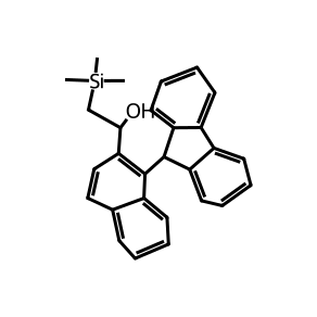 C[Si](C)(C)CC(O)c1ccc2ccccc2c1C1c2ccccc2-c2ccccc21